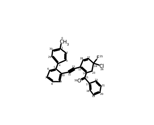 Cc1ccc(-c2ccccc2C#CC2=C(C(=O)c3ccccc3)CC(F)(Cl)C=C2)cc1